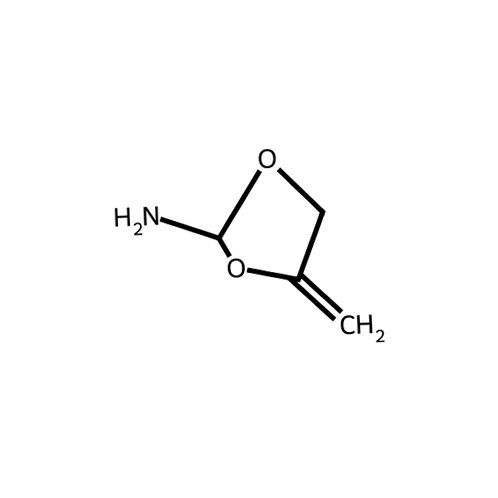 C=C1COC(N)O1